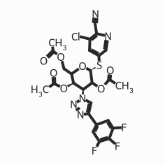 CC(=O)OCC1O[C@H](Sc2cnc(C#N)c(Cl)c2)C(OC(C)=O)[C@@H](n2cc(-c3cc(F)c(F)c(F)c3)nn2)[C@H]1OC(C)=O